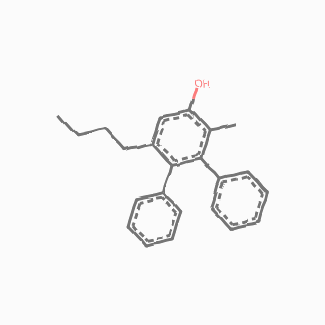 CCCCc1cc(O)c(C)c(-c2ccccc2)c1-c1ccccc1